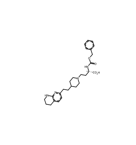 O=C(N[C@@H](CCN1CCC(CCc2ccc3c(n2)NCCC3)CC1)C(=O)O)OCc1ccccc1